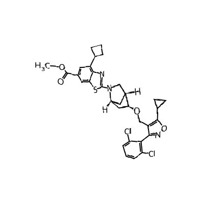 COC(=O)c1cc(C2CCC2)c2nc(N3C[C@H]4C[C@@H]3C[C@@H]4OCc3c(-c4c(Cl)cccc4Cl)noc3C3CC3)sc2c1